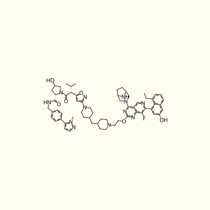 CCc1cccc2cc(O)cc(-c3ncc4c(N5CC6CCC(C5)N6)nc(OCCN5CCC(CC6CCN(c7cc([C@H](C(=O)N8C[C@H](O)C[C@H]8C(=O)N[C@@H](C)c8ccc(-c9ccnn9C)cc8)C(C)C)on7)CC6)CC5)nc4c3F)c12